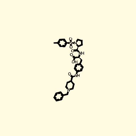 Cc1ccc(S(=O)(=O)N2CCC[C@H]2C(=O)N[C@@H](Cc2ccc(NC(=O)C3CCN(Cc4ccccc4)CC3)cc2)C(=O)O)cc1